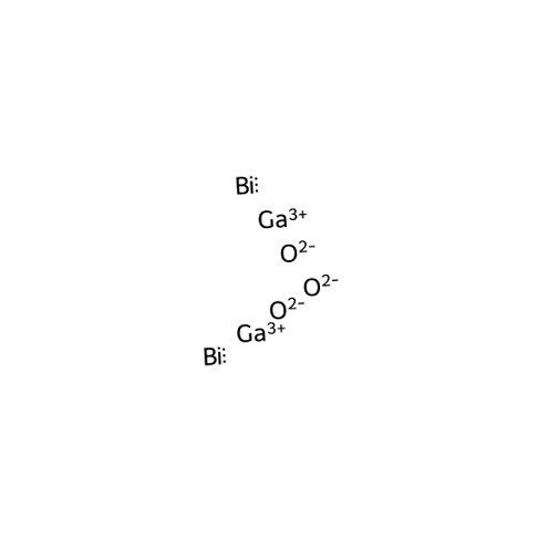 [Bi].[Bi].[Ga+3].[Ga+3].[O-2].[O-2].[O-2]